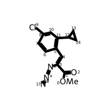 COC(=O)C(=Cc1ccc(Cl)cc1C1CC1)N=[N+]=[N-]